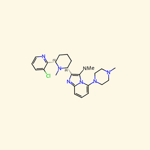 CNc1c([C@H]2CCC[C@@H](c3ncccc3Cl)N2C)nc2cccc(N3CCN(C)CC3)n12